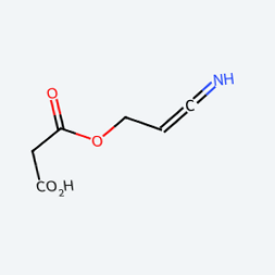 N=C=CCOC(=O)CC(=O)O